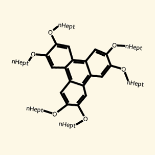 CCCCCCCOc1cc2c3cc(OCCCCCCC)c(OCCCCCCC)cc3c3cc(OCCCCCCC)c(OCCCCCCC)cc3c2cc1OCCCCCCC